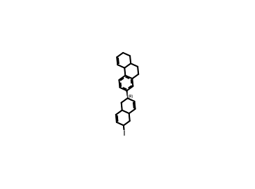 IC1C=CC2C[C@@H](c3ccc4c(c3)CCC3CCC=CC43)C=CC2C1